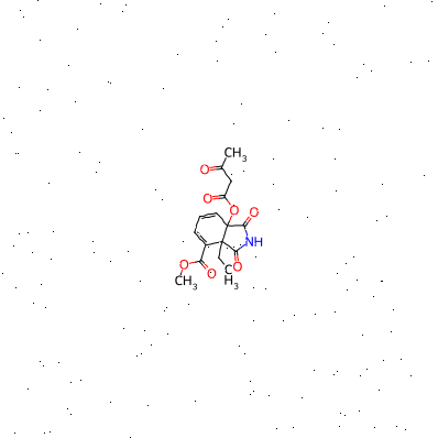 CCC12C(=O)NC(=O)C1(OC(=O)CC(C)=O)C=CC=C2C(=O)OC